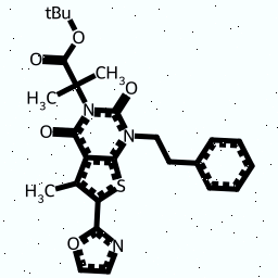 Cc1c(-c2ncco2)sc2c1c(=O)n(C(C)(C)C(=O)OC(C)(C)C)c(=O)n2CCc1ccccc1